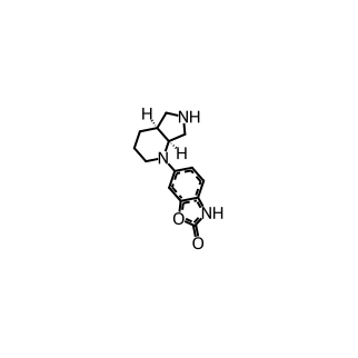 O=c1[nH]c2ccc(N3CCC[C@H]4CNC[C@H]43)cc2o1